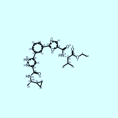 CCOC(=O)[C@@H](NC(=O)c1cnc(-c2cccc(-c3cc(C(=O)N[C@H](C)C4CC4)n[nH]3)c2)o1)C(C)C